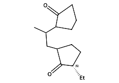 CC[C@H]1CCC(CC(C)C2CCCC2=O)C1=O